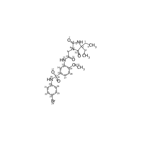 CCC1(CC)NC(=O)N(CC(=O)Nc2cc(S(=O)(=O)Nc3ccc(Br)cc3)ccc2OC)C1=O